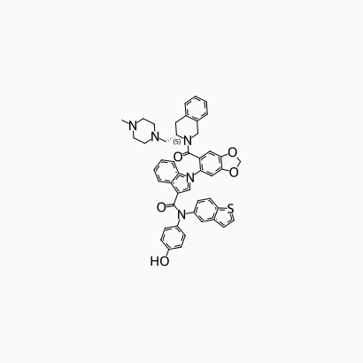 CN1CCN(C[C@@H]2Cc3ccccc3CN2C(=O)c2cc3c(cc2-n2cc(C(=O)N(c4ccc(O)cc4)c4ccc5sccc5c4)c4ccccc42)OCO3)CC1